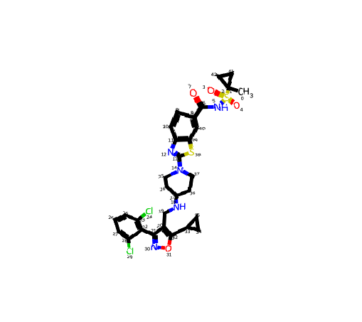 CC1(S(=O)(=O)NC(=O)c2ccc3nc(N4CCC(NCc5c(-c6c(Cl)cccc6Cl)noc5C5CC5)CC4)sc3c2)CC1